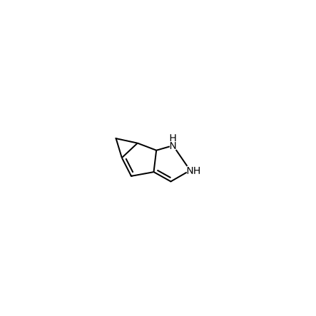 C1=C2CC2C2NNC=C12